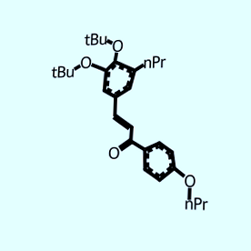 CCCOc1ccc(C(=O)C=Cc2cc(CCC)c(OC(C)(C)C)c(OC(C)(C)C)c2)cc1